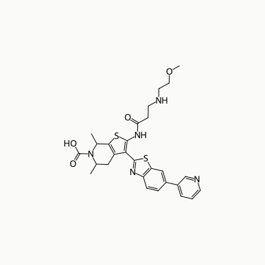 COCCNCCC(=O)Nc1sc2c(c1-c1nc3ccc(-c4cccnc4)cc3s1)CC(C)N(C(=O)O)C2C